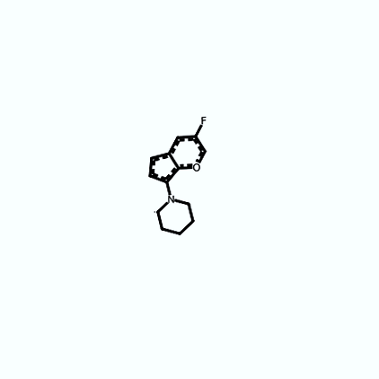 Fc1coc2c(N3[CH]CCCC3)ccc-2c1